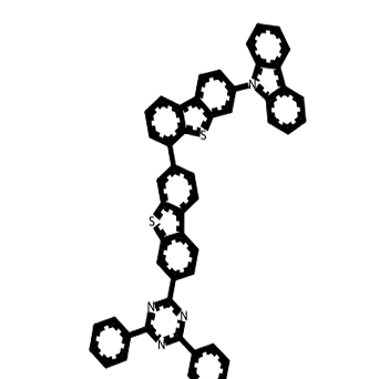 c1ccc(-c2nc(-c3ccccc3)nc(-c3ccc4c(c3)sc3cc(-c5cccc6c5sc5cc(-n7c8ccccc8c8ccccc87)ccc56)ccc34)n2)cc1